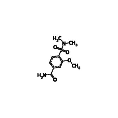 COc1cc(C(N)=O)ccc1S(=O)(=O)N(C)C